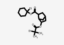 CCC1(OC(=O)C2CC3CC(OC(=O)C(C)(C)CC)C2C3)CCCCC1